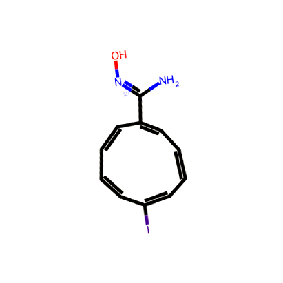 N/C(=N\O)c1ccccc(I)cccc1